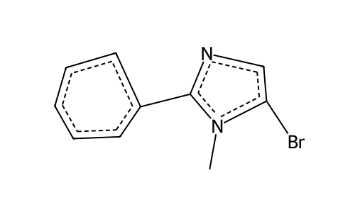 Cn1c(Br)cnc1-c1ccccc1